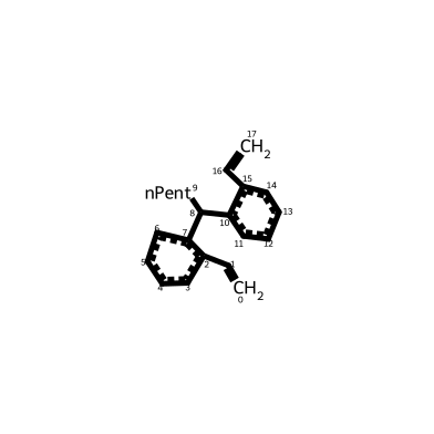 C=Cc1ccccc1C(CCCCC)c1ccccc1C=C